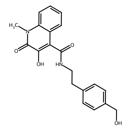 Cn1c(=O)c(O)c(C(=O)NCCc2ccc(CO)cc2)c2ccccc21